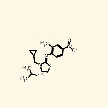 Cc1cc([N+](=O)[O-])ccc1/N=C1\SC[C@H](CC(C)C)N1CC1CC1